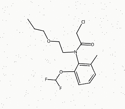 CCCOCCN(C(=O)CCl)c1c(C)cccc1OC(F)F